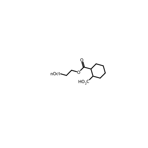 CCCCCCCCCCOC(=O)C1CCCCC1C(=O)O